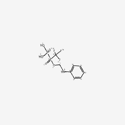 O=P(O)(O)P(=O)(OCNc1ccccc1)C(F)(F)F